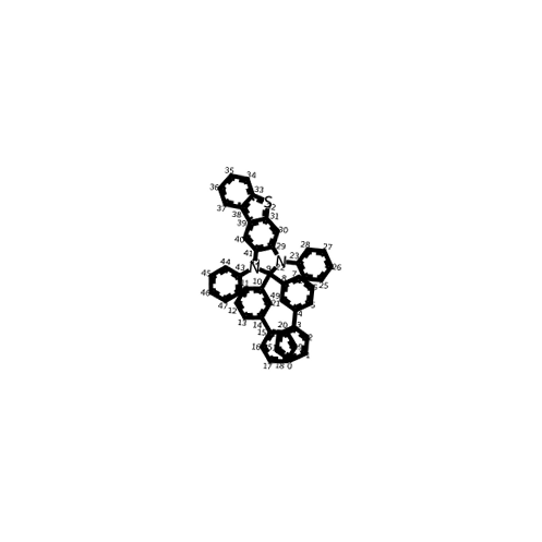 c1ccc(-c2cccc(C3(c4cccc(-c5ccccc5)c4)N(c4ccccc4)c4cc5sc6ccccc6c5cc4N3c3ccccc3)c2)cc1